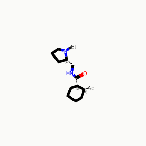 CCN1CCC[C@H]1CNC(=O)[C@H]1CCCC[C@H]1C(C)=O